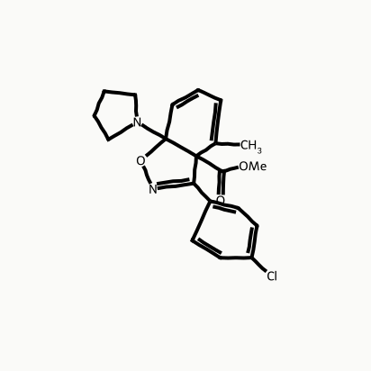 COC(=O)C12C(C)=CC=CC1(N1CCCC1)ON=C2c1ccc(Cl)cc1